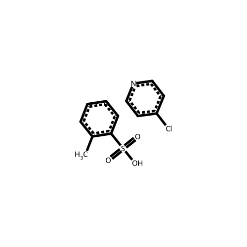 Cc1ccccc1S(=O)(=O)O.Clc1ccncc1